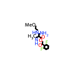 COCCCN/C(N)=C(\C(C)=N)C(=O)OCC(=O)c1c(F)cccc1F